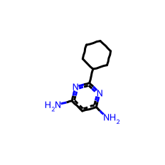 Nc1cc(N)nc(C2CCCCC2)n1